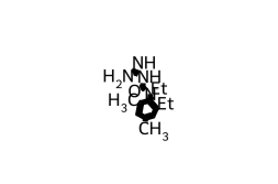 CCc1cc(C)cc(C)c1N(CC)C(=O)NC(=N)N